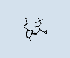 Cc1ccc(CCO)cc1CN(C(=O)OC(C)(C)C)C1CC1